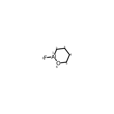 [F][Al]1[CH2]CCC[O]1